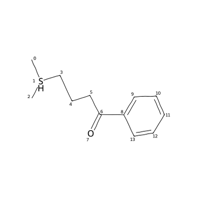 C[SH](C)CCCC(=O)c1ccccc1